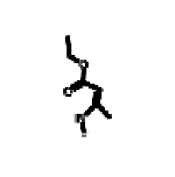 CCOC(=O)/C=C(/C)NF